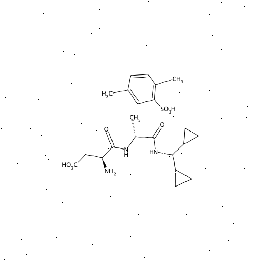 C[C@@H](NC(=O)[C@@H](N)CC(=O)O)C(=O)NC(C1CC1)C1CC1.Cc1ccc(C)c(S(=O)(=O)O)c1